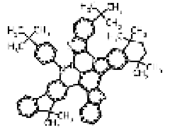 CC(C)(C)c1ccc(N2B3c4sc5ccc(C(C)(C)C)cc5c4-n4c5cc6c(cc5c5c7sc8ccccc8c7c(c3c54)-c3cc4c(cc32)-c2ccccc2C4(C)C)C(C)(C)CCC6(C)C)cc1